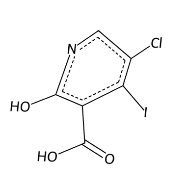 O=C(O)c1c(O)ncc(Cl)c1I